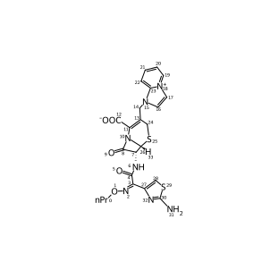 CCCO/N=C(\C(=O)N[C@@H]1C(=O)N2C(C(=O)[O-])=C(Cn3cc[n+]4ccccc34)CS[C@H]12)c1csc(N)n1